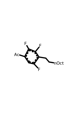 CCCCCCCCCCc1c(F)cc(C(C)=O)c(F)c1F